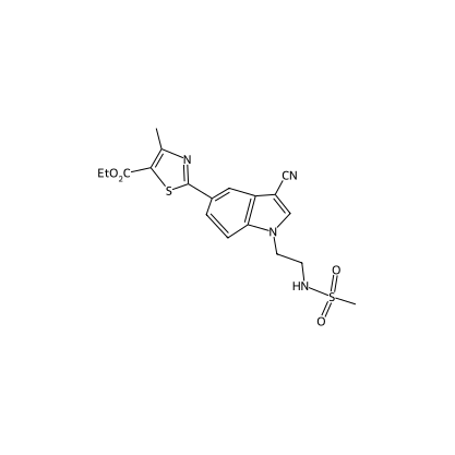 CCOC(=O)c1sc(-c2ccc3c(c2)c(C#N)cn3CCNS(C)(=O)=O)nc1C